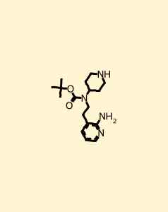 CC(C)(C)OC(=O)N(CCc1cccnc1N)C1CCNCC1